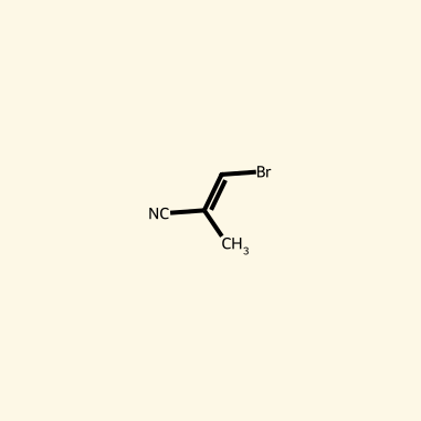 CC(C#N)=CBr